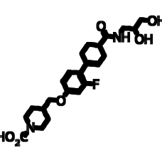 O=C(NCC(O)CO)C1CC=C(c2ccc(OCC3CCN(C(=O)O)CC3)cc2F)CC1